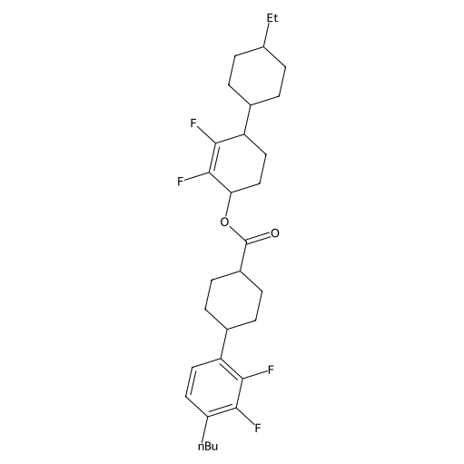 CCCCc1ccc(C2CCC(C(=O)OC3CCC(C4CCC(CC)CC4)C(F)=C3F)CC2)c(F)c1F